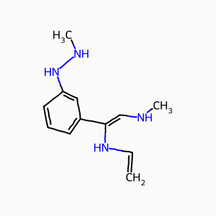 C=CN/C(=C\NC)c1cccc(NNC)c1